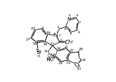 O=C1N(Cc2ccccn2)c2cccc(Br)c2C1(CO)c1cc2c(cc1O)OCC2